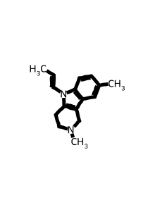 CC=Cn1c2c(c3cc(C)ccc31)CN(C)CC2